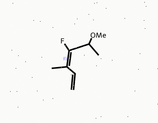 C=C/C(C)=C(/F)C(C)OC